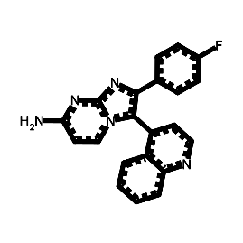 Nc1ccn2c(-c3ccnc4ccccc34)c(-c3ccc(F)cc3)nc2n1